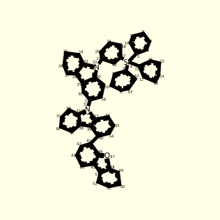 c1ccc([Si](c2ccccc2)(c2ccccc2)c2cccc(-n3c4ccccc4c4cc(-n5c6ccccc6c6c(-c7cccc8c7oc7ccccc78)cccc65)ccc43)c2)cc1